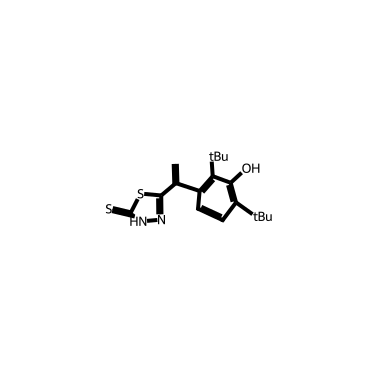 C=C(c1n[nH]c(=S)s1)c1ccc(C(C)(C)C)c(O)c1C(C)(C)C